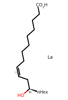 CCCCCC[C@@H](O)C/C=C\CCCCCCCC(=O)O.[La]